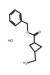 Cl.NCC1CC(C(=O)OCc2ccccc2)C1